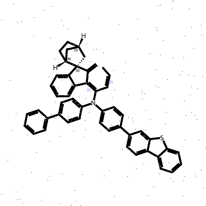 C=C1/C(=C(\C=C/C)N(c2ccc(-c3ccccc3)cc2)c2ccc(-c3ccc4c(c3)sc3ccccc34)cc2)c2ccccc2[C@]12C[C@H]1CC[C@@H]2C1